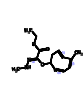 CCOC(=O)/C(=N/NC)OC1C/C=C/C(C)=C\C=N/1